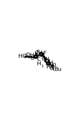 Cc1cc(OCC[C@H](O)CO)cc(C)c1-c1cc(COc2cc3c(cn2)[C@H]2[C@@H](C3)[C@@H]2C(=O)OC(C)(C)C)c(F)cc1F